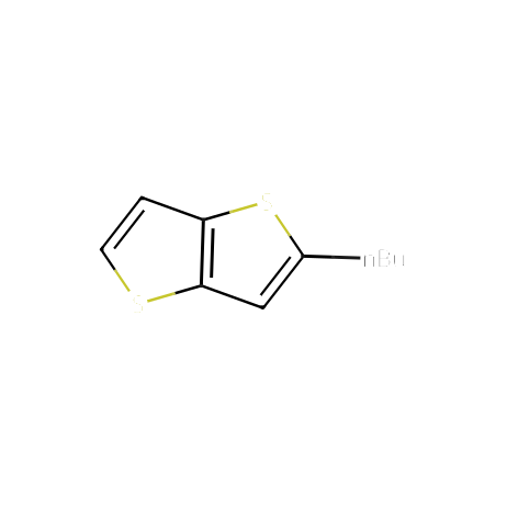 CCCCc1cc2sccc2s1